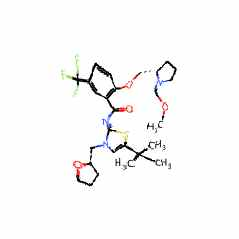 COCN1CCC[C@H]1COc1ccc(C(F)(F)F)cc1C(=O)/N=c1\sc(C(C)(C)C)cn1C[C@H]1CCCO1